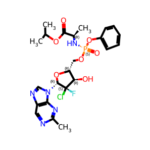 Cc1ncc2ncn([C@@H]3O[C@H](CO[P@@](=O)(N[C@H](C)C(=O)OC(C)C)Oc4ccccc4)[C@@H](O)[C@]3(F)Cl)c2n1